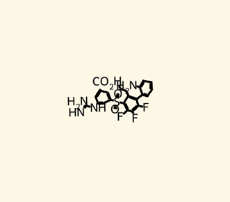 N=C(N)Nc1cccc(S(=O)(=O)c2c(F)c(F)c(F)c(-c3ccccc3N)c2CCC(=O)O)c1